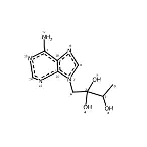 CC(O)C(O)(O)Cn1cnc2c(N)ncnc21